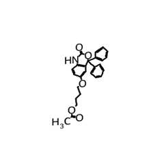 CC(=O)OCCCCOc1ccc2c(c1)C(c1ccccc1)(c1ccccc1)OC(=O)N2